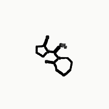 C=C(N1CCCCCC1=O)N1CCCC1=O